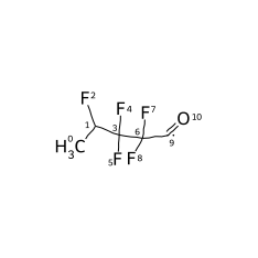 CC(F)C(F)(F)C(F)(F)[C]=O